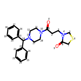 O=C(CCN1CSCC1=O)N1CCN(C(c2ccccc2)c2ccccc2)CC1